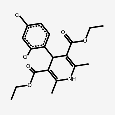 CCOC(=O)C1=C(C)NC(C)=C(C(=O)OCC)C1c1ccc(Cl)cc1Cl